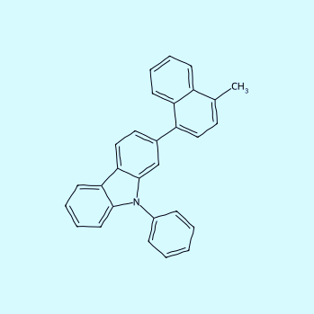 Cc1ccc(-c2ccc3c4ccccc4n(-c4ccccc4)c3c2)c2ccccc12